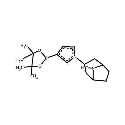 CN1C2CCC1CC(n1cc(B3OC(C)(C)C(C)(C)O3)cn1)C2